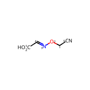 N#CCON=CC(=O)O